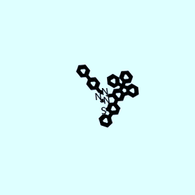 c1ccc(-c2ccc(-c3ncnc(-c4cc5c(cc4-c4ccc6c(c4)sc4ccccc46)-c4ccccc4C5(c4ccccc4)c4ccccc4)n3)cc2)cc1